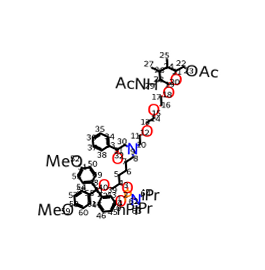 CCCOP(OC(CCCCN(CCOCCOCCOC1OC(COC(C)=O)C(C)C(C)C1NC(C)=O)CC(=O)c1ccccc1)COC(c1ccccc1)(c1ccc(OC)cc1)c1ccc(OC)cc1)N(C(C)C)C(C)C